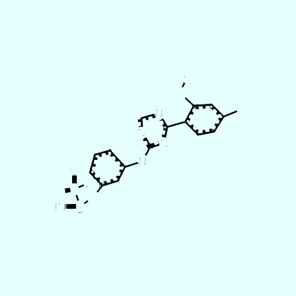 COc1cc(F)ccc1-c1ncnc(Nc2cccc(CS(=N)(=O)S(C)(=O)=O)c2)n1